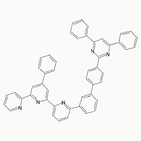 c1ccc(-c2cc(-c3ccccn3)nc(-c3cccc(-c4cccc(-c5ccc(-c6nc(-c7ccccc7)cc(-c7ccccc7)n6)cc5)c4)n3)c2)cc1